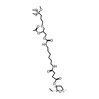 CC[C@H]1O[C@@H](C)C[C@H]1OC(=O)CCC(=O)NCCCCCCNC(=O)OCC(COCCC[Si](OC)(OC)OC)OC(C)=O